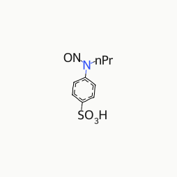 CCCN(N=O)c1ccc(S(=O)(=O)O)cc1